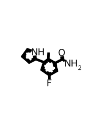 Cc1c(C(N)=O)cc(F)cc1-c1ccc[nH]1